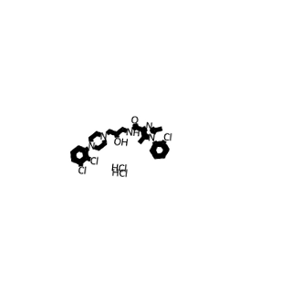 Cc1nc(C(=O)NCC(O)CN2CCN(c3cccc(Cl)c3Cl)CC2)c(C)n1-c1ccccc1Cl.Cl.Cl